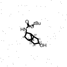 CC(C)(C)OC(=O)NC1CC2CC1C1CC(O)CC21